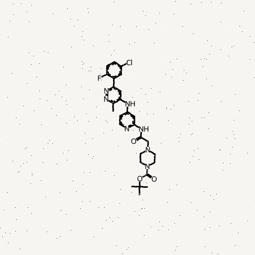 Cc1nnc(-c2cc(Cl)ccc2F)cc1Nc1ccnc(NC(=O)CN2CCN(C(=O)OC(C)(C)C)CC2)c1